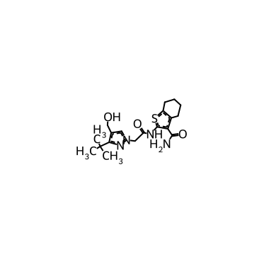 CC(C)(C)c1nn(CC(=O)Nc2sc3c(c2C(N)=O)CCCC3)cc1CO